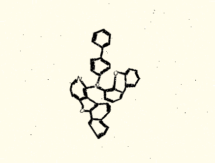 c1ccc(-c2ccc(N(c3cccc4c3oc3ccccc34)c3nccc4oc5c6ccccc6ccc5c34)cc2)cc1